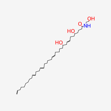 C=CCCCCCCC/C=C/CC/C=C/CCCC/C=C/CCCCC(O)C/C=C/CCC(O)CCCC(=O)NCCO